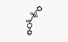 O=C(NCCNC1CCN(c2ccncc2)CC1)OCc1ccccc1